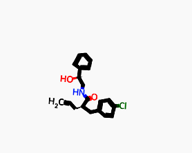 C=CC[C@@H](Cc1ccc(Cl)cc1)C(=O)NC[C@@H](O)c1ccccc1